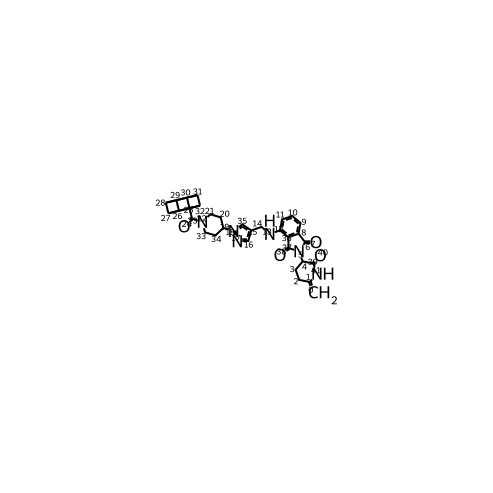 C=C1CCC(N2C(=O)c3cccc(NCc4cnn(C5CCN(C(=O)C67C8C9C%10C8C6C%10C97)CC5)c4)c3C2=O)C(=O)N1